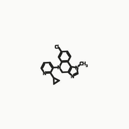 Cn1cnc2c1-c1ccc(Cl)cc1N(c1cccnc1C1CC1)C2